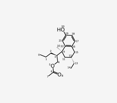 CCC[C@H](COC(C)=O)[C@]1(C)C[C@@H](CC)Cc2ccc(O)cc21